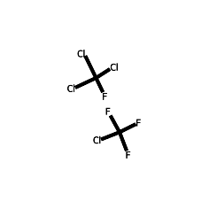 FC(Cl)(Cl)Cl.FC(F)(F)Cl